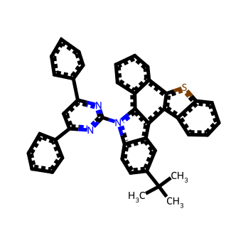 CC(C)(C)c1ccc2c(c1)c1c3c4ccccc4sc3c3ccccc3c1n2-c1nc(-c2ccccc2)cc(-c2ccccc2)n1